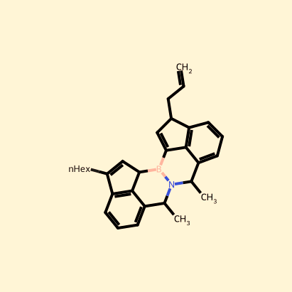 C=CCC1C=C2B3C4C=C(CCCCCC)c5cccc(c54)C(C)N3C(C)c3cccc1c32